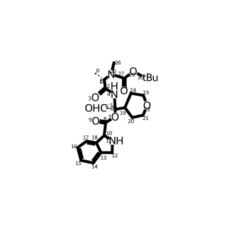 C[C@@H](C(=O)N[C@](C=O)(OC(=O)C1NCc2ccccc21)C1CCOCC1)N(C)C(=O)OC(C)(C)C